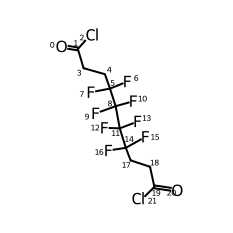 O=C(Cl)CCC(F)(F)C(F)(F)C(F)(F)C(F)(F)CCC(=O)Cl